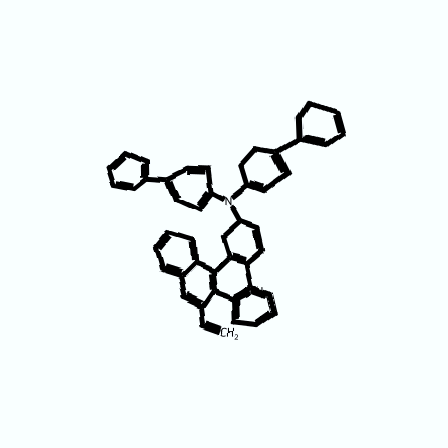 C=Cc1cc2ccccc2c(C2=C(c3ccccc3)C=CC(N(C3=CC=C(C4=CC=CCC4)CC3)c3ccc(-c4ccccc4)cc3)C2)c1C=C